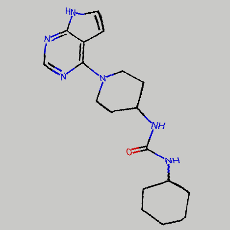 O=C(NC1CCCCC1)NC1CCN(c2ncnc3[nH]ccc23)CC1